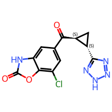 O=C(c1cc(Cl)c2oc(=O)[nH]c2c1)[C@H]1C[C@@H]1c1nn[nH]n1